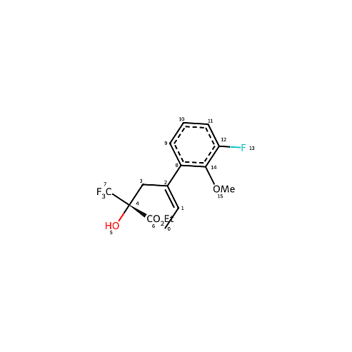 CC=C(C[C@@](O)(C(=O)OCC)C(F)(F)F)c1cccc(F)c1OC